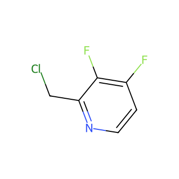 Fc1ccnc(CCl)c1F